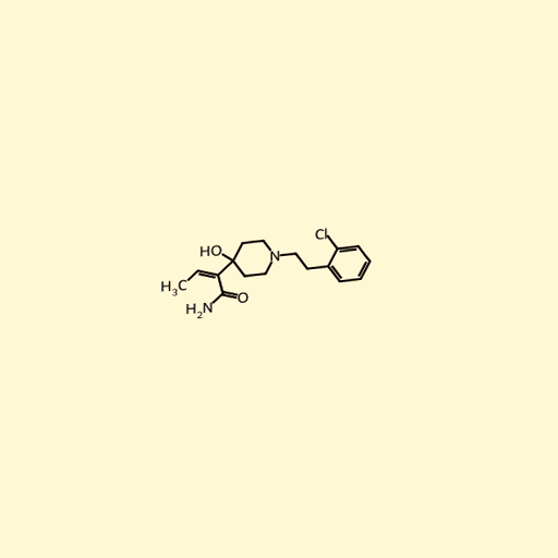 CC=C(C(N)=O)C1(O)CCN(CCc2ccccc2Cl)CC1